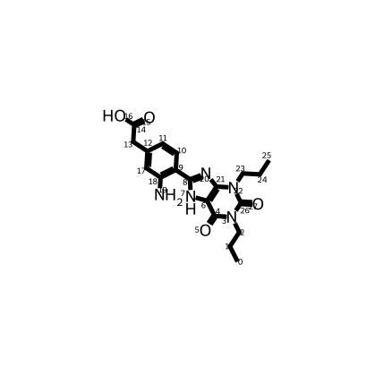 CCCn1c(=O)c2[nH]c(-c3ccc(CC(=O)O)cc3N)nc2n(CCC)c1=O